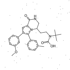 COc1cccc(-c2cc3n(c2-c2cccc(C)c2)C(CCN(C(=O)O)C(C)(C)C)CNC3=O)c1